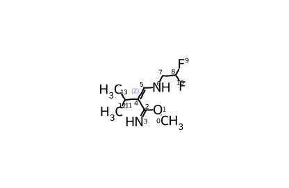 COC(=N)/C(=C\NCC(F)F)C(C)C